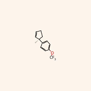 C[C@]1(c2ccc(OC(F)(F)F)cc2)C=CCC1